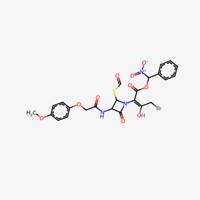 COc1ccc(OCC(=O)NC2C(=O)N(C(C(=O)OC(c3ccccc3)[N+](=O)[O-])=C(O)CBr)C2SC=O)cc1